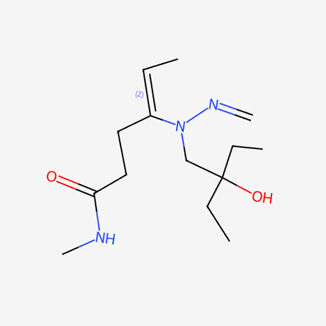 C=NN(CC(O)(CC)CC)/C(=C\C)CCC(=O)NC